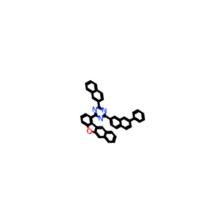 c1ccc(-c2ccc3ccc(-c4nc(-c5ccc6ccccc6c5)nc(-c5cccc6oc7cc8ccccc8cc7c56)n4)cc3c2)cc1